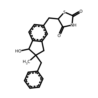 CC1(Cc2ccccc2)Cc2cc(CC3SC(=O)NC3=O)ccc2C1O